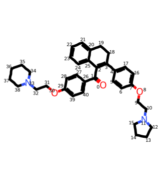 O=C(C1=C(c2ccc(OCCN3CCCC3)cc2)CCc2ccccc21)c1ccc(OCCN2CCCCC2)cc1